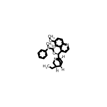 CC[C@H]1CN2CC[C@H]1C[C@@H]2[C@@H](OC(=O)N(C)c1ccccc1)c1ccnc2ccc(OC)cc12